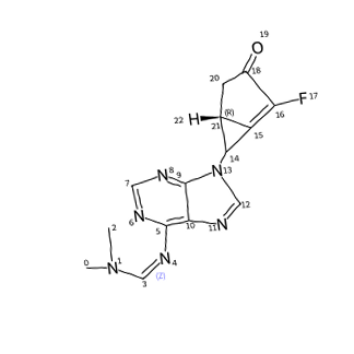 CN(C)/C=N\c1ncnc2c1ncn2C1C2=C(F)C(=O)C[C@H]21